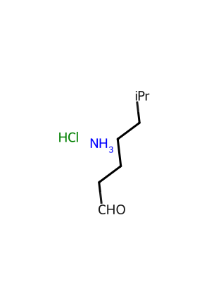 CC(C)CCCCC=O.Cl.N